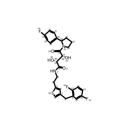 O=C(NCCc1cc(Cc2cc(F)ccc2F)cs1)[C@H](O)[C@@H](O)C(=O)N1CCCC1c1ccc(F)cc1